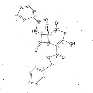 O=C(OCc1ccccc1)C1=C(O)C[S+]([O-])[C@H]2C(NC(=O)c3ccccc3)C(=O)N12